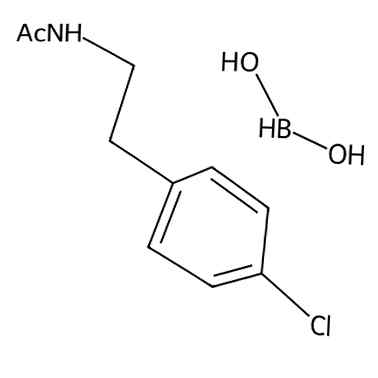 CC(=O)NCCc1ccc(Cl)cc1.OBO